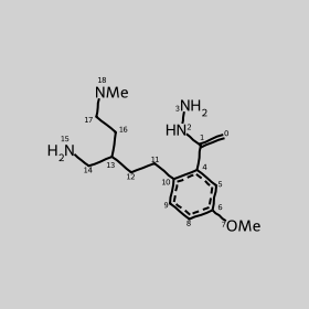 C=C(NN)c1cc(OC)ccc1CCC(CN)CCNC